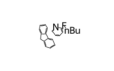 CCCCF.c1ccc2c(c1)Cc1ccccc1-2.c1ccncc1